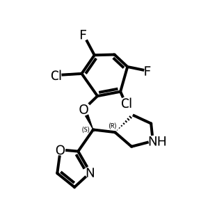 Fc1cc(F)c(Cl)c(O[C@H](c2ncco2)[C@@H]2CCNC2)c1Cl